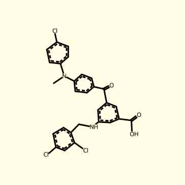 CN(c1ccc(Cl)cc1)c1ccc(C(=O)c2cc(NCc3ccc(Cl)cc3Cl)cc(C(=O)O)c2)cc1